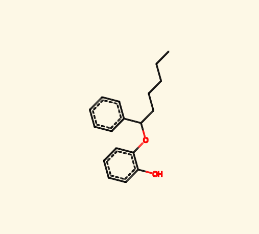 CCCCCC(Oc1ccccc1O)c1ccccc1